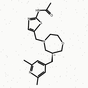 CC(=O)Nc1ncc(CN2CCOC[C@@H](Cc3cc(C)nc(C)c3)C2)s1